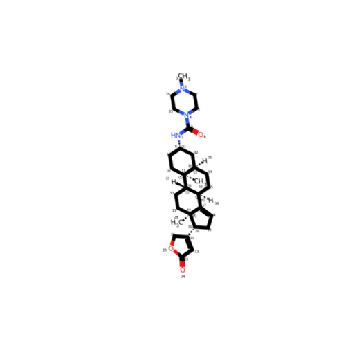 CN1CCN(C(=O)N[C@H]2CC[C@@]3(C)[C@H](CC[C@H]4C5=CC[C@H](C6=CC(=O)OC6)[C@@]5(C)CC[C@@H]43)C2)CC1